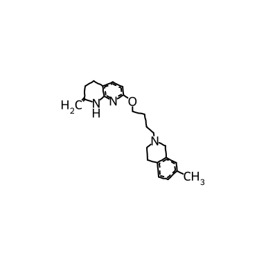 C=C1CCc2ccc(OCCCCN3CCc4ccc(C)cc4C3)nc2N1